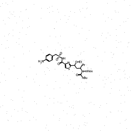 CCCCCCN(C(=O)CCCC)C(CC(OCC)c1nc(C(=O)NS(=O)(=O)Cc2ccc(N)cc2)cs1)C(C)C